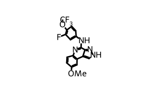 COc1ccc2nc(Nc3ccc(OC(F)(F)F)c(F)c3)c3n[nH]cc3c2c1